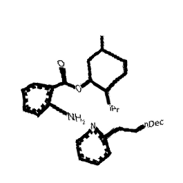 CC1CCC(C(C)C)C(OC(=O)c2ccccc2N)C1.CCCCCCCCCCCCc1ccccn1